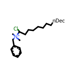 CCCCCCCCCCCCCCCCCC(Cl)[N+](C)(C)Cc1ccccc1